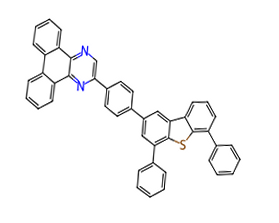 c1ccc(-c2cccc3c2sc2c(-c4ccccc4)cc(-c4ccc(-c5cnc6c7ccccc7c7ccccc7c6n5)cc4)cc23)cc1